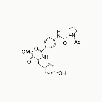 COC(=O)[C@H](Cc1ccc(O)cc1)NC(=O)c1ccc(NC(=O)[C@@H]2CCCN2C(C)=O)cc1